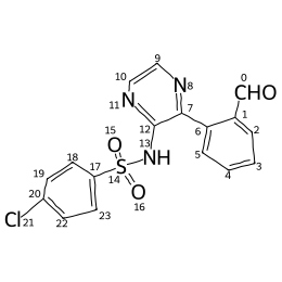 O=Cc1ccccc1-c1nccnc1NS(=O)(=O)c1ccc(Cl)cc1